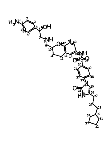 Nc1ccc(C(O)CNCC2CCc3cc(NS(=O)(=O)c4ccc(-n5cc(CCCC6CCCC6)[nH]c5=O)cc4)ccc3O2)cn1